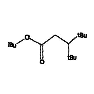 CCC(C)OC(=O)CC(C(C)(C)C)C(C)(C)C